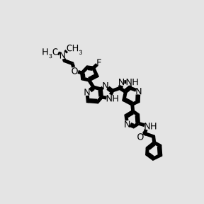 CN(C)CCOc1cc(F)cc(-c2nccc3[nH]c(-c4n[nH]c5ncc(-c6cncc(NC(=O)Cc7ccccc7)c6)cc45)nc23)c1